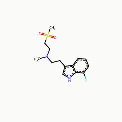 CN(CCc1c[nH]c2c(F)cccc12)CCS(C)(=O)=O